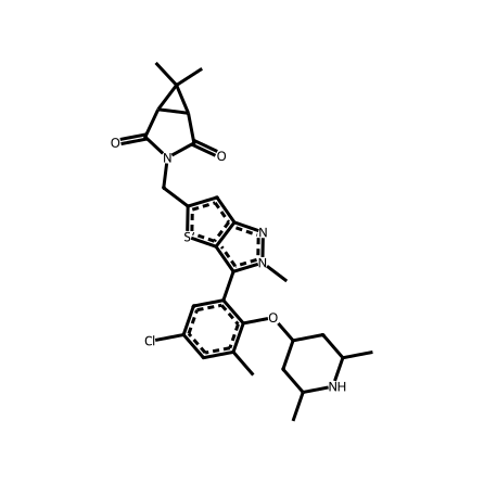 Cc1cc(Cl)cc(-c2c3sc(CN4C(=O)C5C(C4=O)C5(C)C)cc3nn2C)c1OC1CC(C)NC(C)C1